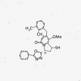 COc1c(Cc2cccc(C)c2C)cc(=O)n2c1C(S)C[C@@H]2c1nnc(-c2ccccc2)o1